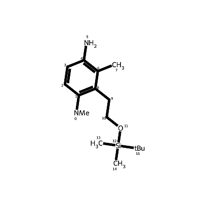 CNc1ccc(N)c(C)c1CCO[Si](C)(C)C(C)(C)C